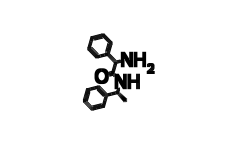 C[C@H](NC(=O)C(N)c1ccccc1)c1ccccc1